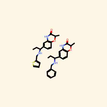 CCC(NCc1ccccc1)c1ccc2c(c1)NC(=O)C(C)O2.CCC(NCc1cccs1)c1ccc2c(c1)NC(=O)C(C)O2